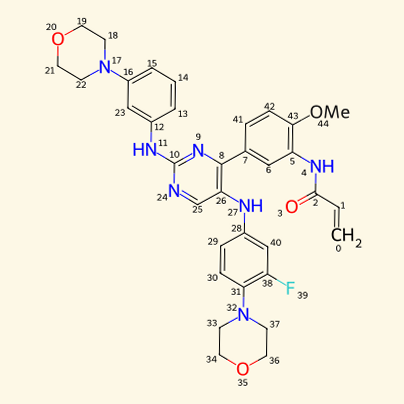 C=CC(=O)Nc1cc(-c2nc(Nc3cccc(N4CCOCC4)c3)ncc2Nc2ccc(N3CCOCC3)c(F)c2)ccc1OC